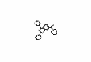 O=C(c1ccc2c(-c3cccnc3)nc(-c3ccccc3)nc2c1)N1CCCCC1